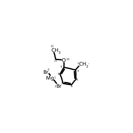 [Br][Mg][Br].[CH2]c1ccccc1OCC